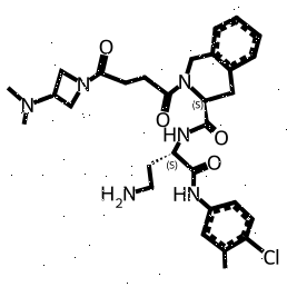 Cc1cc(NC(=O)[C@H](CCN)NC(=O)[C@@H]2Cc3ccccc3CN2C(=O)CCC(=O)N2CC(N(C)C)C2)ccc1Cl